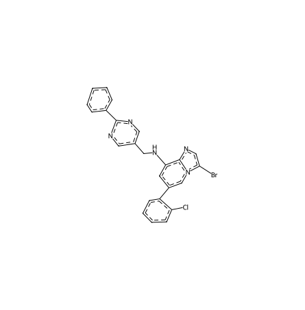 Clc1ccccc1-c1cc(NCc2cnc(-c3ccccc3)nc2)c2ncc(Br)n2c1